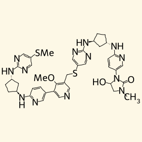 COc1c(CSc2cnc(N[C@H]3CC[C@H](Nc4ccc(N5C(=O)N(C)CC5O)cn4)C3)nc2)cncc1-c1ccc(N[C@H]2CC[C@H](Nc3ncc(SC)cn3)C2)nc1